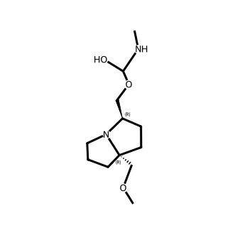 CNC(O)OC[C@H]1CC[C@@]2(COC)CCCN12